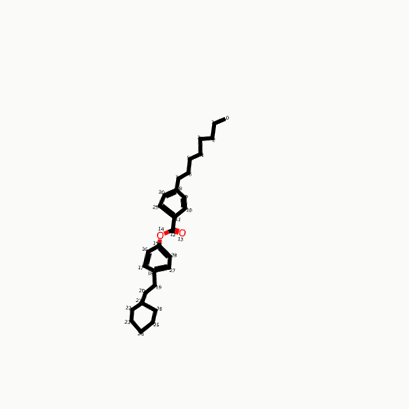 CCCCCCCCc1ccc(C(=O)Oc2ccc(CCC3CC[CH]CC3)cc2)cc1